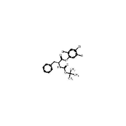 CC(C)(C)OC(=O)N[C@@H](Cc1ccccc1)C(=O)Oc1cc(Cl)c(Cl)cc1Cl